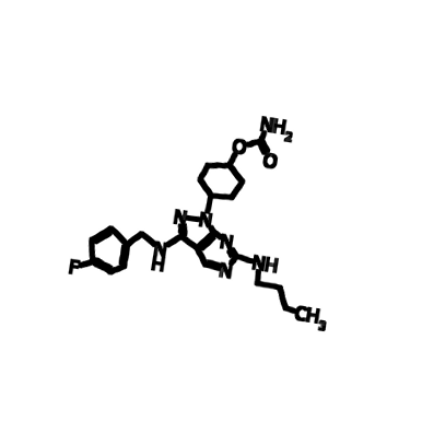 CCCCNc1ncc2c(NCc3ccc(F)cc3)nn(C3CCC(OC(N)=O)CC3)c2n1